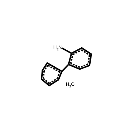 Nc1ccccc1-c1ccccc1.O